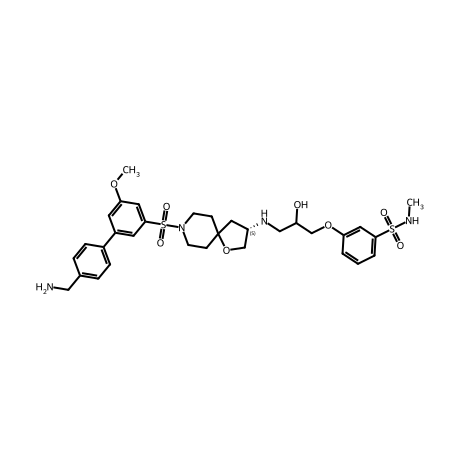 CNS(=O)(=O)c1cccc(OCC(O)CN[C@@H]2COC3(CCN(S(=O)(=O)c4cc(OC)cc(-c5ccc(CN)cc5)c4)CC3)C2)c1